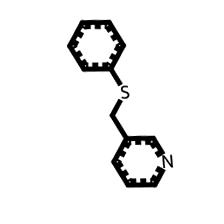 c1ccc(SCc2cccnc2)cc1